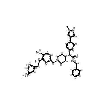 Cn1cc(-c2ccc(C(C(=O)NCc3ccccc3)[C@H]3CC[C@H](Cc4ncc(C#N)c(NCc5cc(C(C)(C)C)n[nH]5)n4)CC3)nc2)cn1